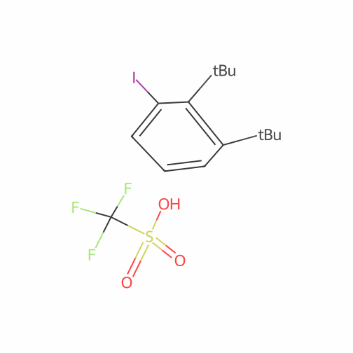 CC(C)(C)c1cccc(I)c1C(C)(C)C.O=S(=O)(O)C(F)(F)F